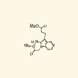 COC(=O)CCc1c(N)n(CC(=O)OC(C)(C)C)c2ccncc12